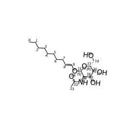 CCCCCCCCC=CO[C@H]1O[C@H](CO)[C@H](O)[C@H](O)[C@@H]1NC(C)=O